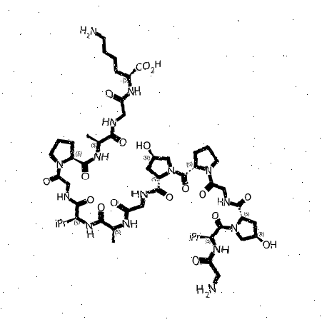 CC(C)[C@H](NC(=O)[C@H](C)NC(=O)CNC(=O)[C@@H]1C[C@@H](O)CN1C(=O)[C@@H]1CCCN1C(=O)CNC(=O)[C@@H]1C[C@@H](O)CN1C(=O)[C@@H](NC(=O)CN)C(C)C)C(=O)NCC(=O)N1CCC[C@H]1C(=O)N[C@@H](C)C(=O)NCC(=O)N[C@@H](CCCCN)C(=O)O